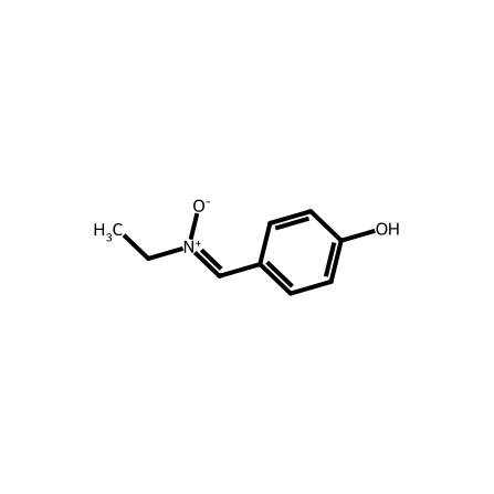 CC[N+]([O-])=Cc1ccc(O)cc1